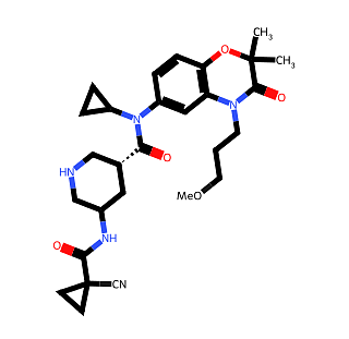 COCCCN1C(=O)C(C)(C)Oc2ccc(N(C(=O)[C@H]3CNCC(NC(=O)C4(C#N)CC4)C3)C3CC3)cc21